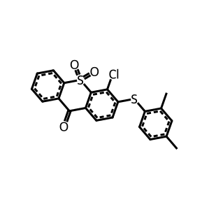 Cc1ccc(Sc2ccc3c(c2Cl)S(=O)(=O)c2ccccc2C3=O)c(C)c1